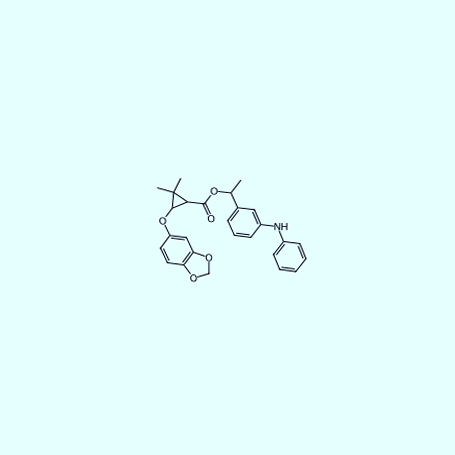 CC(OC(=O)C1C(Oc2ccc3c(c2)OCO3)C1(C)C)c1cccc(Nc2ccccc2)c1